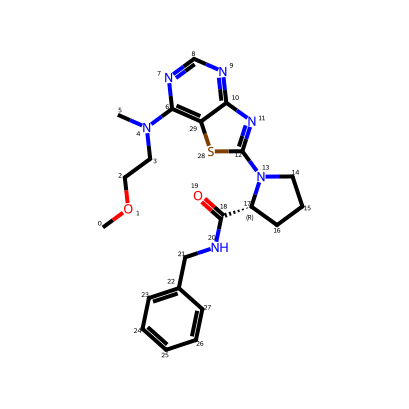 COCCN(C)c1ncnc2nc(N3CCC[C@@H]3C(=O)NCc3ccccc3)sc12